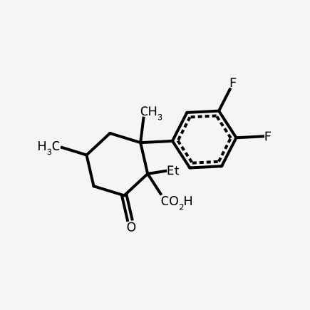 CCC1(C(=O)O)C(=O)CC(C)CC1(C)c1ccc(F)c(F)c1